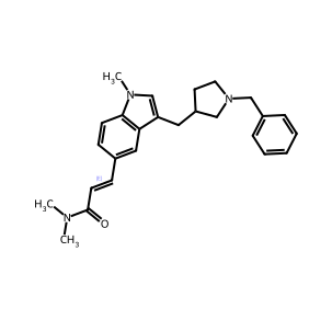 CN(C)C(=O)/C=C/c1ccc2c(c1)c(CC1CCN(Cc3ccccc3)C1)cn2C